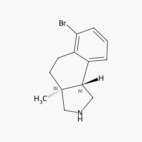 C[C@]12CCc3c(Br)cccc3[C@@H]1CNC2